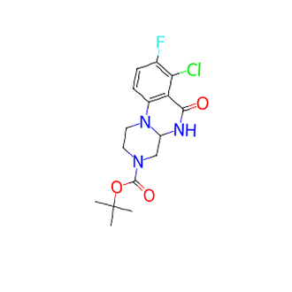 CC(C)(C)OC(=O)N1CCN2c3ccc(F)c(Cl)c3C(=O)NC2C1